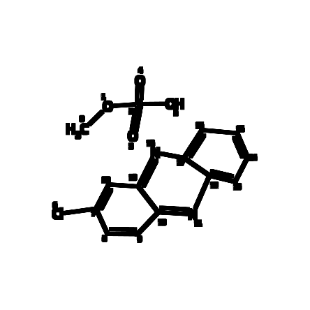 COS(=O)(=O)O.Clc1ccc2nc3ccccc3nc2c1